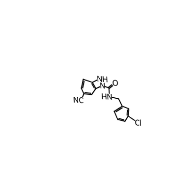 N#Cc1ccc2[nH]n(C(=O)NCc3cccc(Cl)c3)c2c1